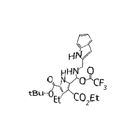 CCOC(=O)c1c(C(NCc2cc3ccccc3[nH]2)OC(=O)C(F)(F)F)[nH]c(C(=O)OC(C)(C)C)c1CC